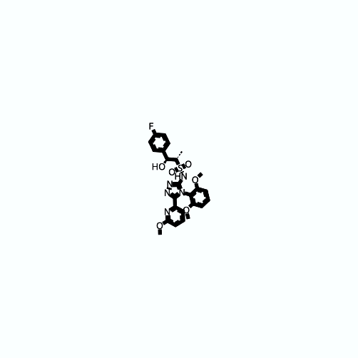 COc1cccc(-c2nnc(NS(=O)(=O)[C@@H](C)[C@@H](O)c3ccc(F)cc3)n2-c2c(OC)cccc2OC)n1